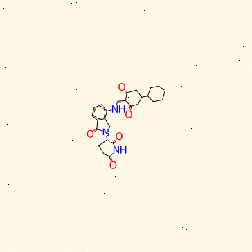 O=C1CCC(N2Cc3c(NC=C4C(=O)CC(C5CCCCC5)CC4=O)cccc3C2=O)C(=O)N1